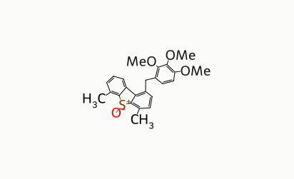 COc1ccc(Cc2ccc(C)c3c2c2cccc(C)c2[s+]3[O-])c(OC)c1OC